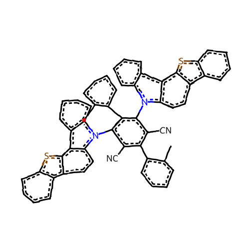 Cc1ccccc1-c1c(C#N)c(-n2c3ccccc3c3c4sc5ccccc5c4ccc32)c(-c2ccccc2C)c(-n2c3ccccc3c3c4sc5ccccc5c4ccc32)c1C#N